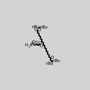 CCCCC(CCCC)CC(=O)CCCCCCCCC(CCCCCCCCC(=O)OC(CCCC)CCCC)OC(=O)CCCN(C)C